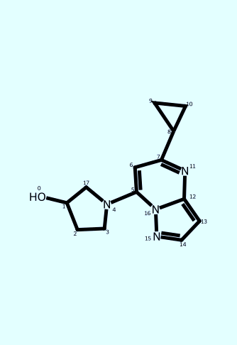 OC1CCN(c2cc(C3CC3)nc3ccnn23)C1